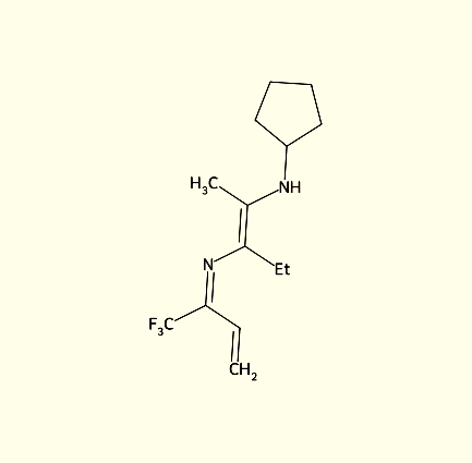 C=C/C(=N\C(CC)=C(/C)NC1CCCC1)C(F)(F)F